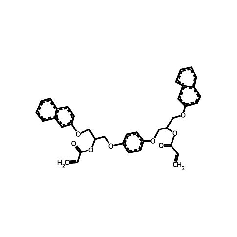 C=CC(=O)OC(COc1ccc(OCC(COc2ccc3ccccc3c2)OC(=O)C=C)cc1)COc1ccc2ccccc2c1